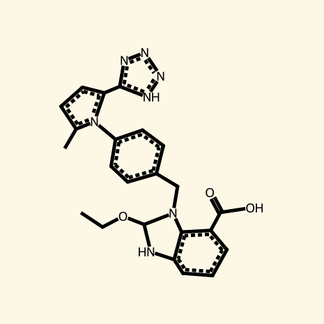 CCOC1Nc2cccc(C(=O)O)c2N1Cc1ccc(-n2c(C)ccc2-c2nnn[nH]2)cc1